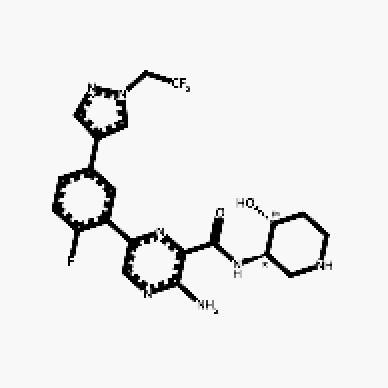 Nc1ncc(-c2cc(-c3cnn(CC(F)(F)F)c3)ccc2F)nc1C(=O)N[C@@H]1CNCC[C@H]1O